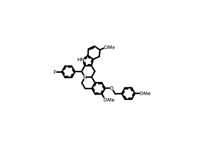 COc1ccc(COc2cc3c(cc2OC)CCN2C3Cc3c([nH]c4c3CC(OC)C=C4)C2c2ccc(F)cc2)cc1